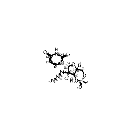 C[C@@]1(N=[N+]=[N-])[C@@H]2OP(C)(=O)OC[C@H]2O[C@H]1n1ccc(=O)[nH]c1=O